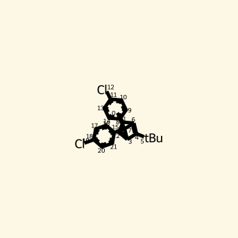 CC1[C]=C2C(C(C)(C)C)=C1C2(c1ccc(Cl)cc1)c1ccc(Cl)cc1